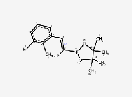 Cc1c(Br)cccc1/C=C(\F)B1OC(C)(C)C(C)(C)O1